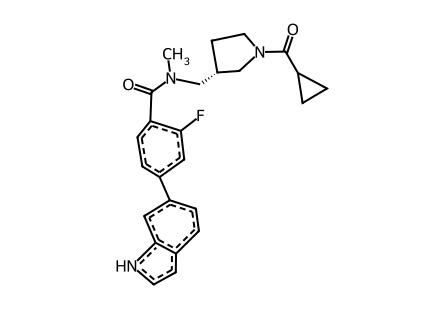 CN(C[C@@H]1CCN(C(=O)C2CC2)C1)C(=O)c1ccc(-c2ccc3cc[nH]c3c2)cc1F